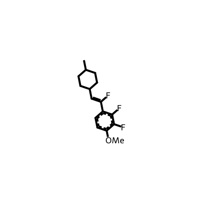 COc1ccc(/C(F)=C/C2CCC(C)CC2)c(F)c1F